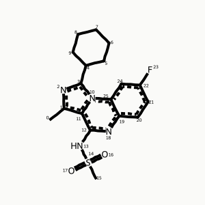 Cc1nc(C2CCCCC2)n2c1c(NS(C)(=O)=O)nc1ccc(F)cc12